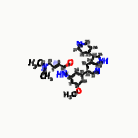 COc1cc(NC(=O)/C=C/CN(C)C)cc(-c2cnc3[nH]cc(-c4ccncc4)c3c2)c1